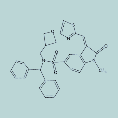 CN1C(=O)/C(=C/c2nccs2)c2cc(S(=O)(=O)N(CC3COC3)C(c3ccccc3)c3ccccc3)ccc21